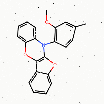 COc1cc(C)ccc1N1c2ccccc2Oc2c1oc1ccccc21